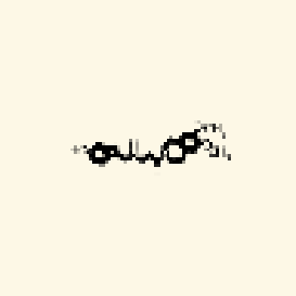 COc1cc2c(cc1OC)CCN(C(=O)CCNCC1Cc3cc(O)ccc31)CC2